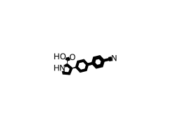 N#Cc1ccc(C2CCC([C@H]3CCN[C@@H]3C(=O)O)CC2)cc1